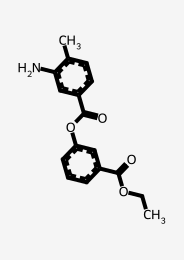 CCOC(=O)c1cccc(OC(=O)c2ccc(C)c(N)c2)c1